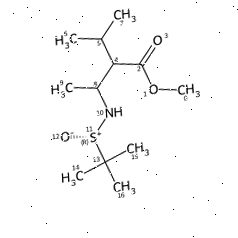 COC(=O)C(C(C)C)C(C)N[S@@+]([O-])C(C)(C)C